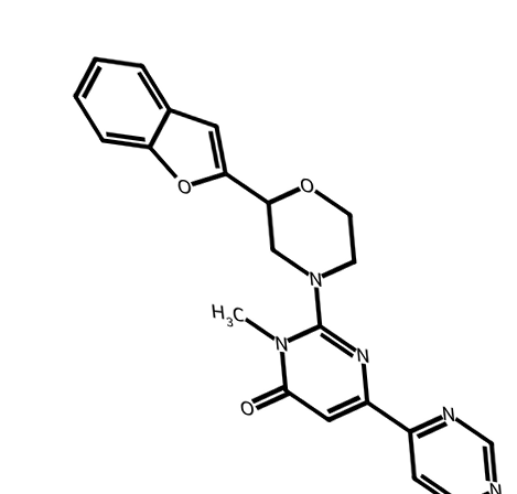 Cn1c(N2CCOC(c3cc4ccccc4o3)C2)nc(-c2ccncn2)cc1=O